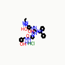 CCc1nnn([C@H]2C[C@@H](n3cnc4c(NCC(c5ccccc5)c5ccccc5)nc(N5CC[C@@H](NC(=O)NCc6cccc(O)c6)C5)nc43)[C@H](O)[C@@H]2O)n1.Cl